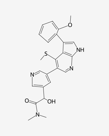 COc1ccccc1-c1c[nH]c2ncc(-c3cncc(C(O)C(=O)N(C)C)c3)c(SC)c12